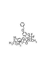 CCOC(=O)C(C)(Oc1ccc(C(C)(C)C)cc1)C(OC(=O)C(F)(F)F)c1ccc(OCc2ccccc2)cc1